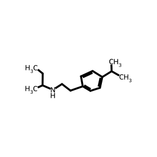 CCC(C)NCCc1ccc(C(C)C)cc1